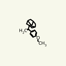 C=C(c1ccc(OCC)cc1)C12CC3CC(CC(C3)C1)C2